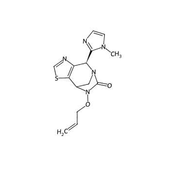 C=CCON1C(=O)N2CC1c1scnc1[C@H]2c1nccn1C